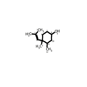 CC(C)=CC1(C)CCC(O)CC1C